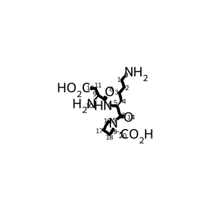 NCCCC[C@H](NC(=O)[C@@H](N)CC(=O)O)C(=O)N1CCC[C@H]1C(=O)O